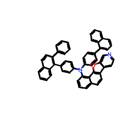 c1ccc(-c2ccc3ccccc3c2-c2ccc(N(c3ccc(-c4cccc5ccccc45)cc3)c3cccc4ccc5c6ccncc6oc5c34)cc2)cc1